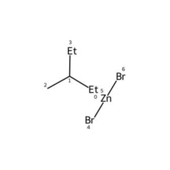 CCC(C)CC.[Br][Zn][Br]